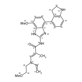 C=NN(/C=C(\C)C(=O)Nc1nc2c(-c3cccc4c3CCN4)ccc(OC)c2[nH]1)CCOC